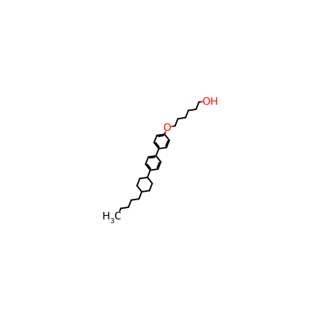 CCCCCC1CCC(c2ccc(-c3ccc(OCCCCCCO)cc3)cc2)CC1